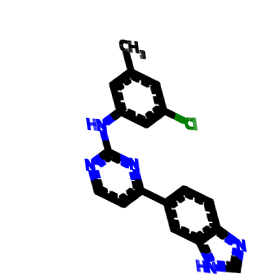 Cc1cc(Cl)cc(Nc2nccc(-c3ccc4nc[nH]c4c3)n2)c1